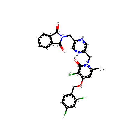 Cc1cc(OCc2ccc(F)cc2F)c(Br)c(=O)n1Cc1cnc(CN2C(=O)c3ccccc3C2=O)cn1